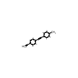 C#Cc1ccc(C#Cc2ccc(C)cc2)cc1